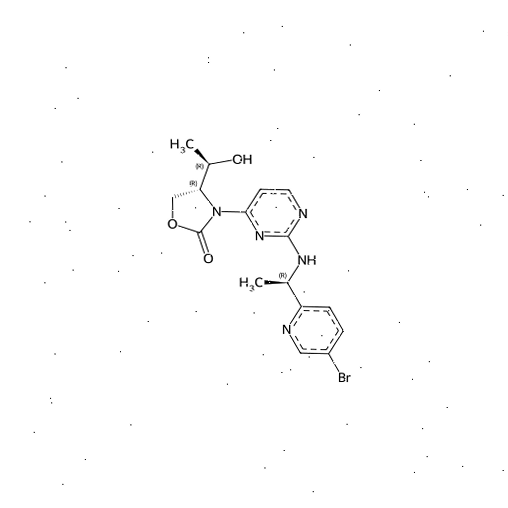 C[C@@H](Nc1nccc(N2C(=O)OC[C@@H]2[C@@H](C)O)n1)c1ccc(Br)cn1